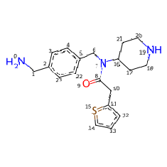 NCc1ccc(CN(C(=O)Cc2cccs2)C2CCNCC2)cc1